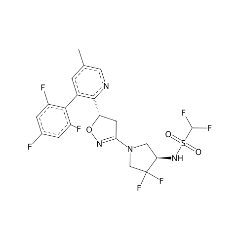 Cc1cnc([C@@H]2CC(N3C[C@@H](NS(=O)(=O)C(F)F)C(F)(F)C3)=NO2)c(-c2c(F)cc(F)cc2F)c1